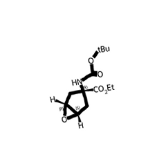 CCOC(=O)[C@@]1(NC(=O)OC(C)(C)C)C[C@@H]2O[C@@H]2C1